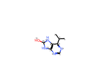 CC(C)c1ncnc2c1NC(O)N2